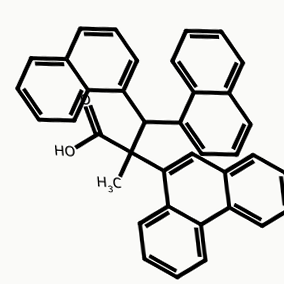 CC(C(=O)O)(c1cc2ccccc2c2ccccc12)C(c1cccc2ccccc12)c1cccc2ccccc12